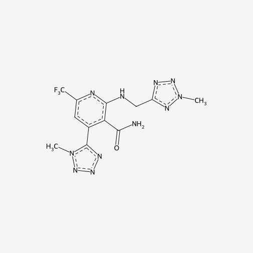 Cn1nnc(CNc2nc(C(F)(F)F)cc(-c3nnnn3C)c2C(N)=O)n1